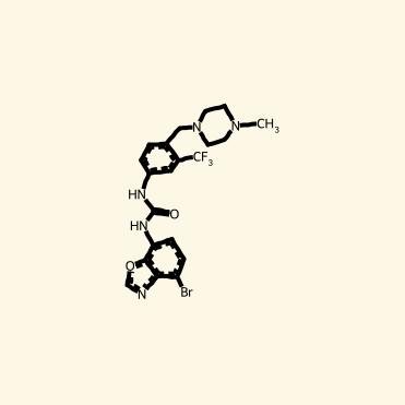 CN1CCN(Cc2ccc(NC(=O)Nc3ccc(Br)c4ncoc34)cc2C(F)(F)F)CC1